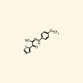 N#CC(=NNc1ccc(OC(F)(F)F)cc1)C(=O)c1cccs1